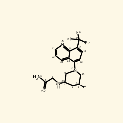 C[C@H]1C[C@@H](NCC(N)=O)CN(c2ccc(C(F)(F)I)c3ncccc23)C1